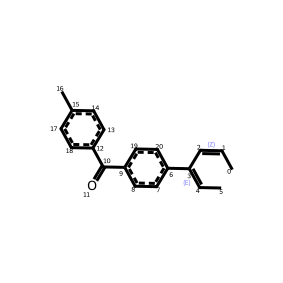 C/C=C\C(=C/C)c1ccc(C(=O)c2ccc(C)cc2)cc1